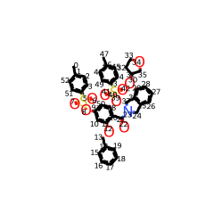 Cc1ccc(S(=O)(=O)Oc2cc(OCc3ccccc3)c(C(=O)N3Cc4cccc(OC5CCOC5)c4C3)c(OS(=O)(=O)c3ccc(C)cc3)c2)cc1